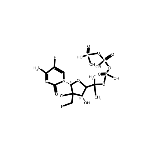 CC(C)(OP(=O)(O)OP(=O)(O)OP(=O)(O)O)C1O[C@@H](n2cc(F)c(N)nc2=O)C(Cl)(CF)[C@H]1O